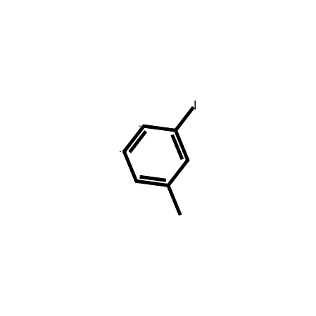 Cc1c[c][c]c(I)c1